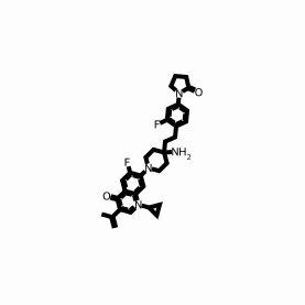 C=C(C)c1cn(C2CC2)c2cc(N3CCC(N)(CCc4ccc(N5CCCC5=O)cc4F)CC3)c(F)cc2c1=O